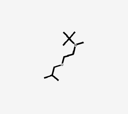 CC(C)COCCN(C)C(C)(C)C